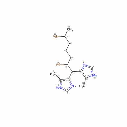 Cc1[nH]cnc1C(c1nc[nH]c1C)C(S)CCCC(C)S